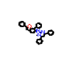 CN1C(n2c3ccccc3c3c4oc(-c5ccccc5)cc4ccc32)=NC(c2ccccc2)=CC1c1ccccc1